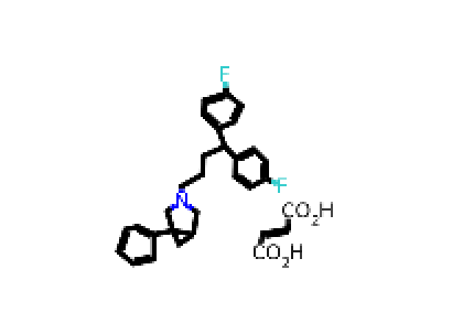 Fc1ccc(C(CCCN2CC3CC3(c3ccccc3)C2)c2ccc(F)cc2)cc1.O=C(O)C=CC(=O)O